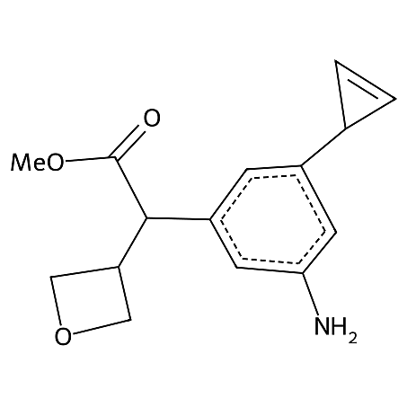 COC(=O)C(c1cc(N)cc(C2C=C2)c1)C1COC1